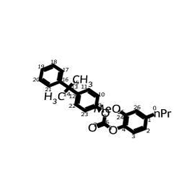 CCCc1ccc(OC(=O)Oc2ccc(C(C)(C)c3ccccc3)cc2)c(OC)c1